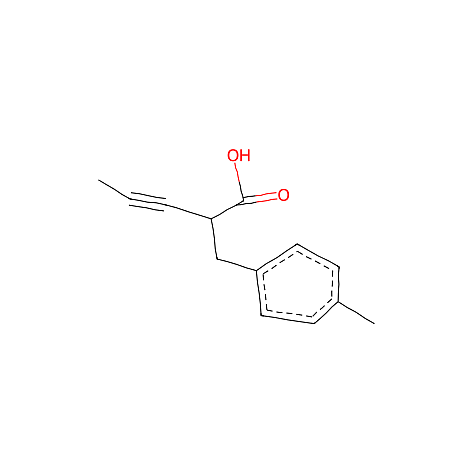 CC#CC(Cc1ccc(C)cc1)C(=O)O